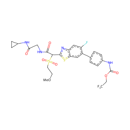 COCCS(=O)(=O)C(C(=O)NCC(=O)NC1CC1)c1nc2cc(F)c(-c3ccc(NC(=O)OCC(F)(F)F)cc3)cc2s1